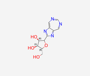 OC[C@H]1OC(c2nc3cncncc-3n2)[C@H](O)[C@@H]1O